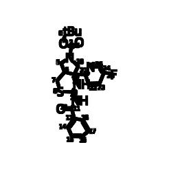 CC(C)(C)OC(=O)N1CC2CSC(NC(=O)c3ccccc3)NC2(c2ccc(F)cn2)C1